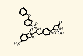 Cc1ccc2nc([C@H](Cc3ccc(C4CC(=O)NS4(O)O)cc3)NS(=O)(=O)c3cccc(Oc4ccccc4)c3)[nH]c2c1